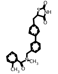 Cc1ccccc1C(=O)N(C)Cc1cccc(-c2ccc(CC3SC(=O)NC3=O)cc2)c1